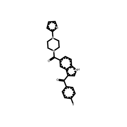 O=C(c1ccc(F)cc1)c1c[nH]c2ccc(C(=O)N3CCN(c4cccs4)CC3)cc12